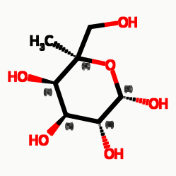 C[C@]1(CO)O[C@H](O)[C@H](O)[C@@H](O)[C@H]1O